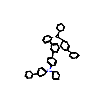 C1=CCCC(c2ccc(N(c3ccccc3)c3ccc(-c4cccc(-c5ccccc5[C@@H]5C(C6=CC=CCC6)C5C5=CC=C(c6ccccc6)CC5)c4)cc3)cc2)=C1